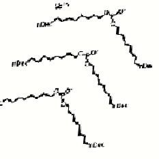 CCCCCCCCCCCCCCCCCCOP([O-])OCCCCCCCCCCCCCCCCCC.CCCCCCCCCCCCCCCCCCOP([O-])OCCCCCCCCCCCCCCCCCC.CCCCCCCCCCCCCCCCCCOP([O-])OCCCCCCCCCCCCCCCCCC.[Sb+3]